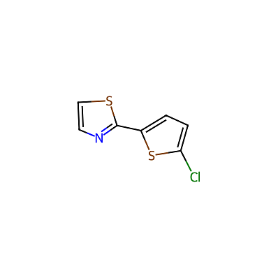 Clc1ccc(-c2nccs2)s1